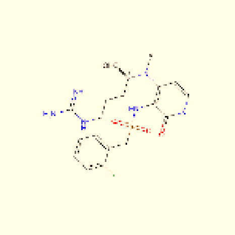 CC(=O)N(c1cc[nH]c(=O)c1NS(=O)(=O)Cc1ccccc1F)[C@H](C=O)CCCNC(=N)N